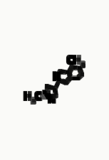 Cc1cccc2cc(-c3cnn(C)c3)ncc12